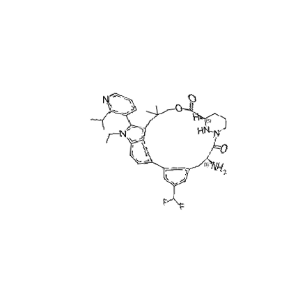 CCn1c(-c2cccnc2C(C)C)c2c3cc(ccc31)-c1cc(cc(C(F)F)c1)C[C@H](N)C(=O)N1CCC[C@H](N1)C(=O)OCC(C)(C)C2